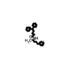 C[C@H](CCCc1cccnc1)NC(=O)/C=C/C=C(c1ccccc1)c1ccccc1